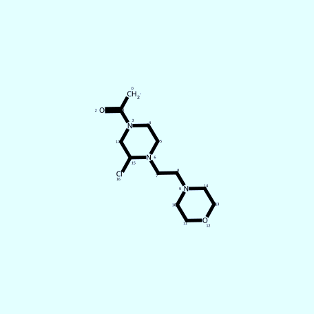 [CH2]C(=O)N1CCN(CCN2CCOCC2)C(Cl)C1